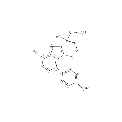 CCCC1(CC(=O)O)OCCc2c1[nH]c1c(F)ccc(-c3ccc(OC)cc3)c21